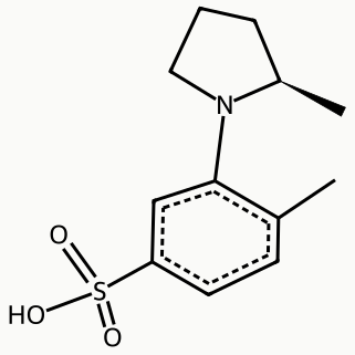 Cc1ccc(S(=O)(=O)O)cc1N1CCC[C@H]1C